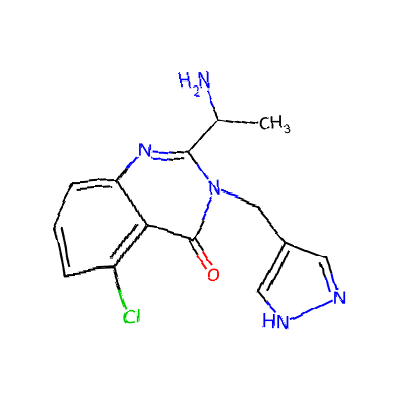 CC(N)c1nc2cccc(Cl)c2c(=O)n1Cc1cn[nH]c1